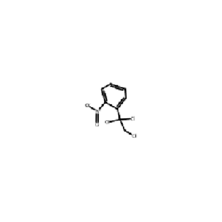 O=[N+]([O-])c1ccccc1C(Cl)(Cl)CCl